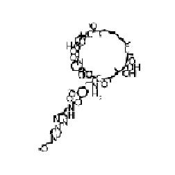 COCCN1CCN(c2ncc(CNC(=O)O[C@@H]3CC[C@@H](C[C@@H](N)[C@@H]4CC(=O)[C@H](C)/C=C(\C)[C@@H](O)[C@@H](O)C(=O)[C@H](C)C[C@H](C)/C=C/C=C/C=C(\C)[C@@H](OC)C[C@@H]5CC[C@@H](C)[C@@](O)(O5)C(=O)C(=O)N5CCCC[C@H]5C(=O)O4)C[C@H]3OC)cn2)CC1